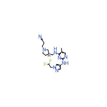 Cc1cnc(Nc2cnn(CC(F)F)c2)nc1NC[C@H]1CCN(CCC#N)C1